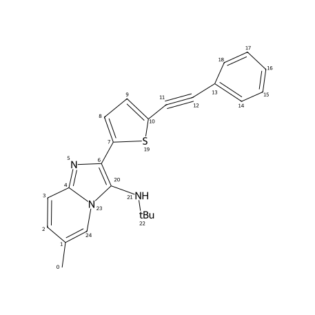 Cc1ccc2nc(-c3ccc(C#Cc4ccccc4)s3)c(NC(C)(C)C)n2c1